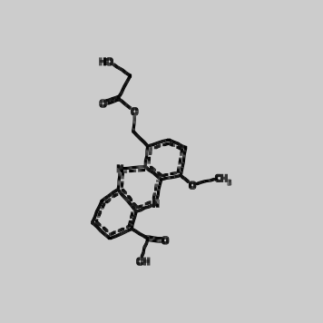 COc1ccc(COC(=O)CO)c2nc3cccc(C(=O)O)c3nc12